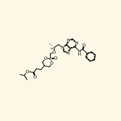 CC(C)OC(=O)CCC1COP(=O)(CO[C@H](C)Cn2cnc3c(NC(=O)c4ccccc4)ncnc32)OC1